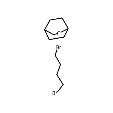 BrCCCCBr.C1CC2CCC1CC2